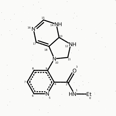 CCNC(=O)c1ncccc1N1CNC2NC=NC=C21